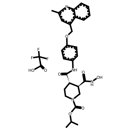 Cc1cc(COc2ccc(NC(=O)[C@H]3CCN(C(=O)OC(C)C)C[C@@H]3C(=O)NO)cc2)c2ccccc2n1.O=C(O)C(F)(F)F